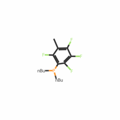 CCCCP(CCCC)c1c(F)c(C)c(F)c(F)c1F